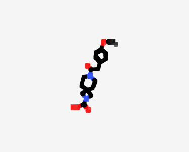 COc1ccc(CC(=O)N2CCC3(CC2)CN(C(=O)O)C3)cc1